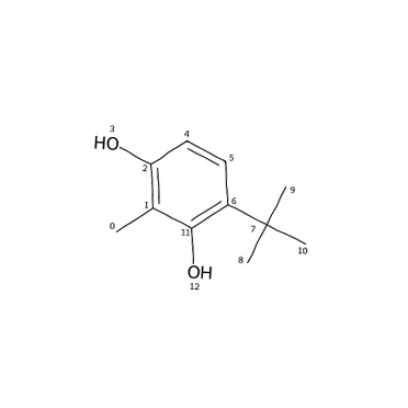 Cc1c(O)ccc(C(C)(C)C)c1O